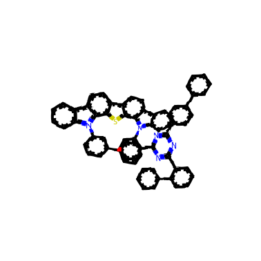 c1ccc(-c2ccc(-c3nc(-c4ccccc4-c4ccccc4)nc(-c4ccccc4-n4c5ccccc5c5ccc6c7ccc8c9ccccc9n(-c9cccc(-c%10ccccc%10)c9)c8c7sc6c54)n3)cc2)cc1